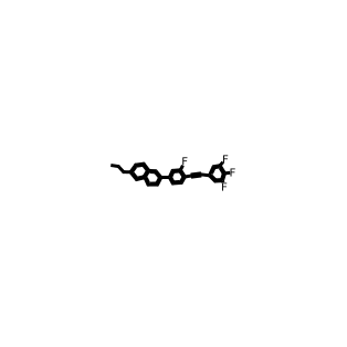 CCCc1ccc2cc(-c3ccc(C#Cc4cc(F)c(F)c(F)c4)c(F)c3)ccc2c1